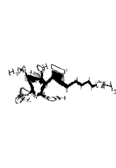 CCCCCCC(=O)c1c(O)nc(OC)c(OC)c1O